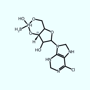 B[PH]1(O)OCC2OC(N3CNC4=C3NCN=C4Cl)C(O)[C@@H]2O1